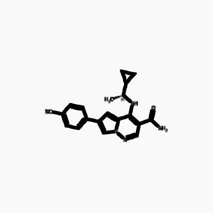 C[C@@H](Nc1c(C(N)=O)cnn2cc(-c3ccc(C#N)cc3)cc12)C1CC1